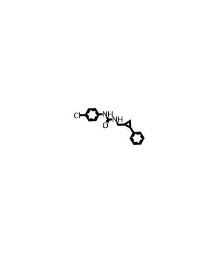 O=C(NCC1CC1c1ccccc1)Nc1ccc(Cl)cc1